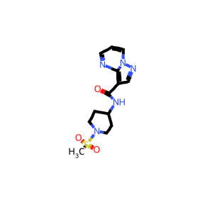 CS(=O)(=O)N1CCC(NC(=O)c2cnn3cccnc23)CC1